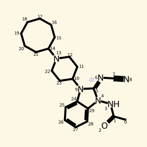 CC(=O)Nn1/c(=N\C#N)n(C2CCN(C3CCCCCCC3)CC2)c2ccccc21